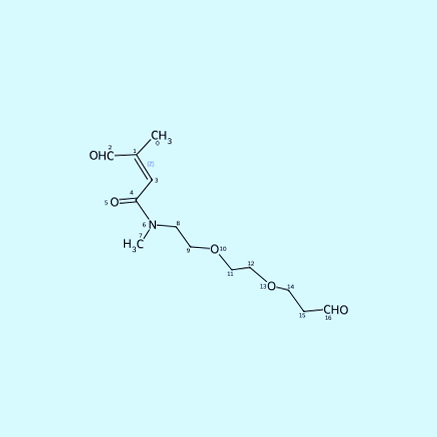 C/C(C=O)=C/C(=O)N(C)CCOCCOCCC=O